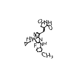 Cc1ccc(F)c(Nc2cc(NCC3CC3)n3ncc(C=C4CC(=O)NC4=O)c3n2)c1